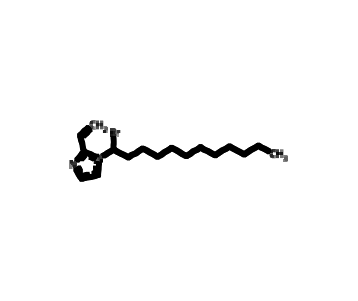 C=Cc1nccn1C(Br)CCCCCCCCCCC